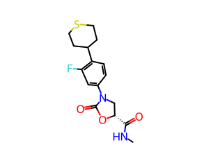 CNC(=O)[C@H]1CN(c2ccc(C3CCSCC3)c(F)c2)C(=O)O1